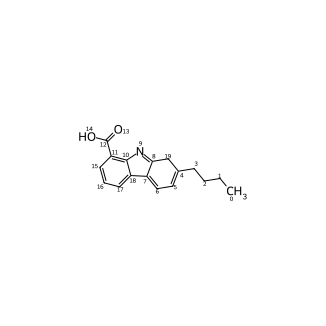 CCCCC1=CC=C2C(=Nc3c(C(=O)O)cccc32)C1